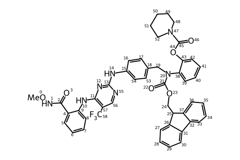 CONC(=O)c1ccccc1Nc1nc(Nc2ccc(CN(C(=O)OCC3c4ccccc4-c4ccccc43)c3ccccc3OC(=O)N3CCCCC3)cc2)ncc1C(F)(F)F